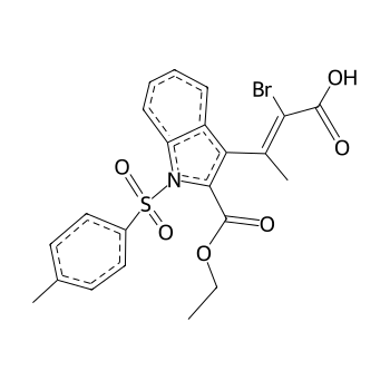 CCOC(=O)c1c(/C(C)=C(\Br)C(=O)O)c2ccccc2n1S(=O)(=O)c1ccc(C)cc1